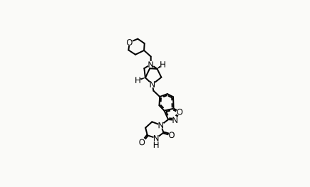 O=C1CCN(c2noc3ccc(CN4C[C@@H]5C[C@H]4CN5CC4CCOCC4)cc23)C(=O)N1